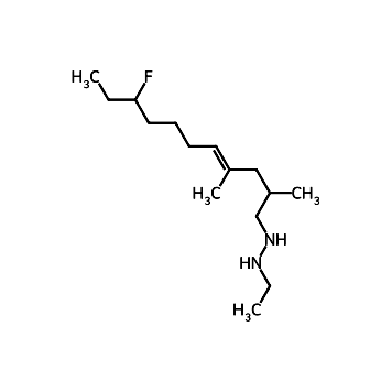 CCNNCC(C)C/C(C)=C/CCCC(F)CC